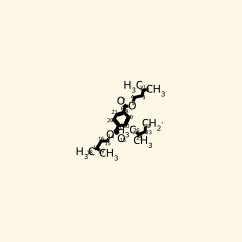 CC(C)CCOC(=O)c1ccc(C(=O)OCCC(C)C)cc1.[CH2]CC(C)C